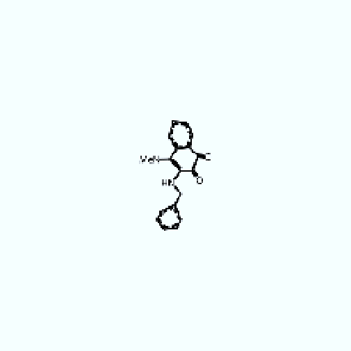 CNC1=C(NCc2ccccc2)C(=O)C(=O)c2ccccc21